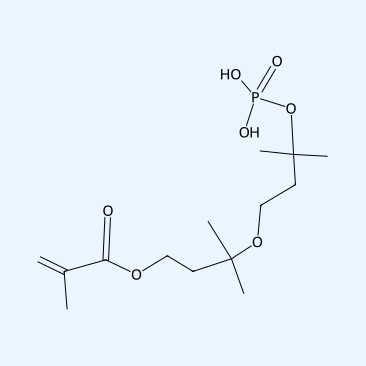 C=C(C)C(=O)OCCC(C)(C)OCCC(C)(C)OP(=O)(O)O